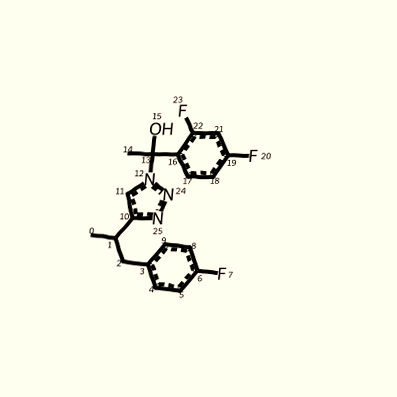 CC(Cc1ccc(F)cc1)c1cn(C(C)(O)c2ccc(F)cc2F)nn1